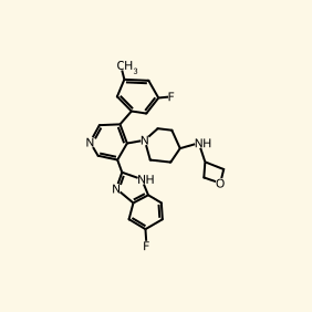 Cc1cc(F)cc(-c2cncc(-c3nc4cc(F)ccc4[nH]3)c2N2CCC(NC3COC3)CC2)c1